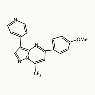 COc1ccc(-c2cc(C(F)(F)F)n3ncc(-c4ccncc4)c3n2)cc1